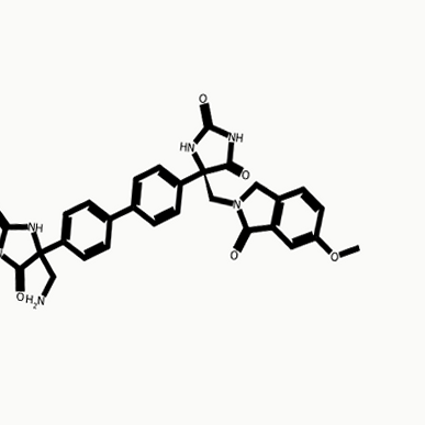 C=C1NC(=O)C(CN)(c2ccc(-c3ccc([C@]4(CN5Cc6ccc(OC)cc6C5=O)NC(=O)NC4=O)cc3)cc2)N1